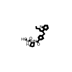 CCc1cc(Cc2ccc(C(=O)N[C@H]3CCC[C@H]3C(=O)NO)cc2)c2ccccc2n1